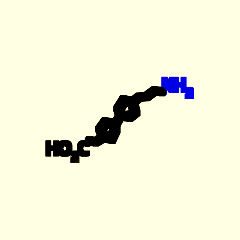 NCCCCc1ccc(-c2ccc(CCC(=O)O)cc2)cc1